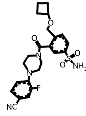 N#Cc1ccc(N2CCN(C(=O)c3cc(S(N)(=O)=O)ccc3COC3CCC3)CC2)c(F)c1